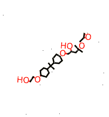 CC(C)(CC(O)COC1CCC(C(C)(C)C2CCC(OCCO)CC2)CC1)OCC1CO1